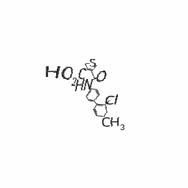 CC1C=CC(c2ccc(NC(=O)C3=C(C(=O)O)CSC3)cc2)=C(Cl)C1